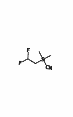 C[Si](C)(C#N)CC(F)F